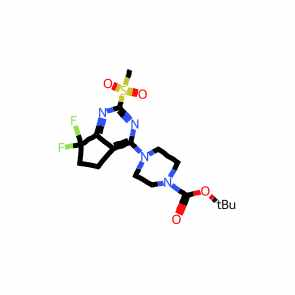 CC(C)(C)OC(=O)N1CCN(c2nc(S(C)(=O)=O)nc3c2CCC3(F)F)CC1